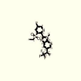 CCS(=O)(=O)c1cc(I)cnc1-c1nc2cc(C(F)C(F)(F)F)cnc2n1C